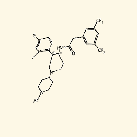 CC(=O)N1CCC(N2CC[C@@H](NC(=O)Cc3cc(C(F)(F)F)cc(C(F)(F)F)c3)[C@H](c3ccc(F)cc3C)C2)CC1